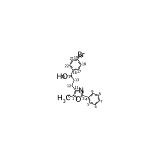 Cc1oc(-c2ccccc2)nc1CC[C@H](O)c1ccc(Br)cc1